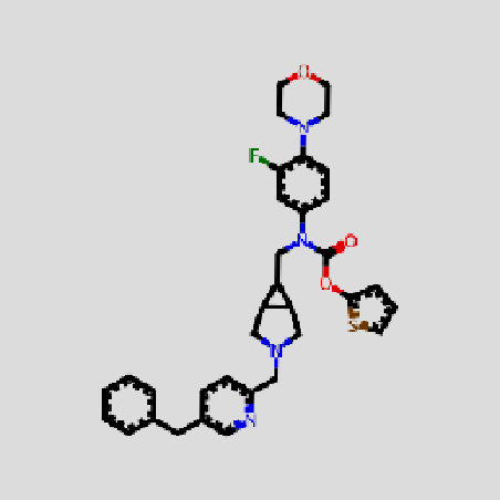 O=C(Oc1cccs1)N(CC1C2CN(Cc3ccc(Cc4ccccc4)cn3)CC21)c1ccc(N2CCOCC2)c(F)c1